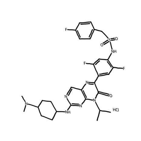 CC(C)n1c(=O)c(-c2cc(F)c(NS(=O)(=O)Cc3ccc(F)cc3)cc2F)nc2cnc(NC3CCC(N(C)C)CC3)nc21.Cl